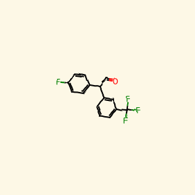 O=CC(c1ccc(F)cc1)c1cccc(C(F)(F)F)c1